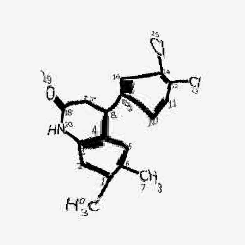 Cc1cc2c(cc1C)C(c1ccc(Cl)c(Cl)c1)CC(=O)N2